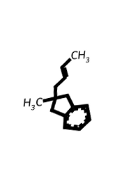 C/C=C/CC1(C)Cc2ccccc2C1